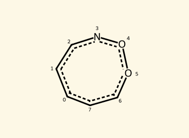 c1ccnoocc1